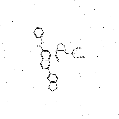 CCN(CC)C[C@@H]1CCCN1C(=O)c1cc(NCc2ccccc2)nc2ccc(-c3ccc4c(c3)OCO4)cc12